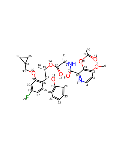 COc1ccnc(C(=O)N[C@@H](C)C(=O)O[C@@H](C)[C@H](Oc2ccccc2)c2ccc(F)cc2OCC2CC2)c1OC(C)=O